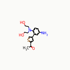 CC(=O)c1cc(-c2cc(N)ccc2N(CCO)CCO)cs1